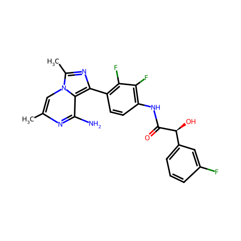 Cc1cn2c(C)nc(-c3ccc(NC(=O)[C@@H](O)c4cccc(F)c4)c(F)c3F)c2c(N)n1